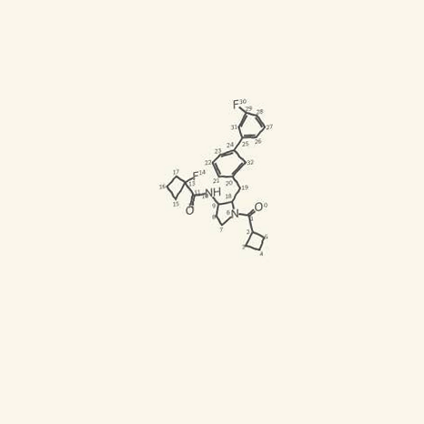 O=C(C1CCC1)N1CCC(NC(=O)C2(F)CCC2)C1Cc1cccc(-c2cccc(F)c2)c1